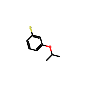 CC(C)Oc1cccc([S])c1